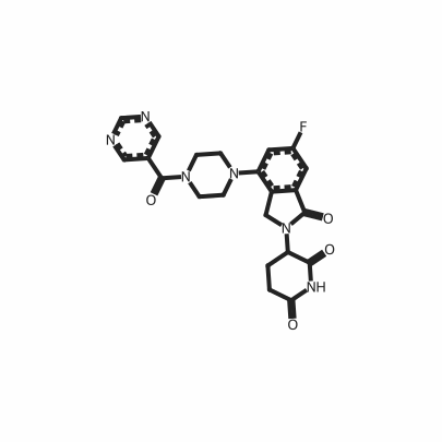 O=C1CCC(N2Cc3c(cc(F)cc3N3CCN(C(=O)c4cncnc4)CC3)C2=O)C(=O)N1